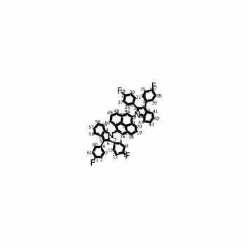 Fc1ccc(-c2c(-c3ccc(F)cc3)n(-c3cc4cccc5c(-n6c(-c7ccc(F)cc7)c(-c7ccc(F)cc7)c7ccccc76)cc6cccc3c6c45)c3ccccc23)cc1